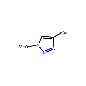 CCCCc1cn(OC)nn1